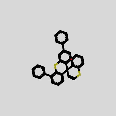 c1ccc(-c2ccc3c(c2)Sc2c(-c4ccccc4)cccc2C32c3ccccc3Sc3ccccc32)cc1